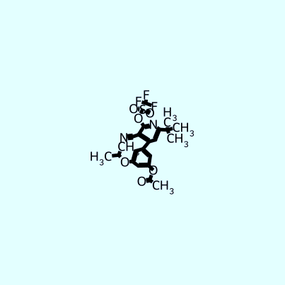 CC(=O)Oc1cc(OC(C)C)cc(-c2cc(C(C)(C)C)nc(OS(=O)(=O)C(F)(F)F)c2C#N)c1